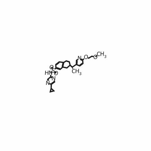 COCCOc1ccc([C@@H](C)C2CCc3ccc(S(=O)(=O)Nc4cnc(C5CC5)cn4)cc3C2)cn1